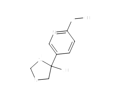 COc1ccc(C2(C)CNCN2)cn1